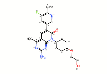 COc1ncc(-c2cc3c(C)nc(N)nc3n(C3CCC(OCCO)CC3)c2=O)cc1F